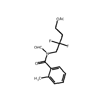 CC(=O)OCCC(F)(F)CN(C=O)C(=O)c1ccccc1C